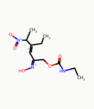 CCNC(=O)OCC(/C=C(\CC)C(C)[N+](=O)[O-])=N/O